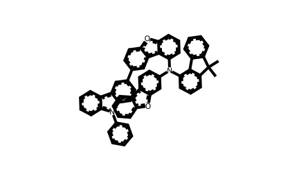 CC1(C)c2ccccc2-c2c(N(c3ccc4c(c3)oc3ccccc34)c3cccc4oc5ccc(-c6ccc7c(c6)c6ccccc6n7-c6ccccc6)cc5c34)cccc21